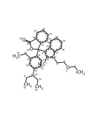 CCOCCn1c(C)c(C2(c3ccc(N(CC)CC)cc3CC)OC(=O)c3ccccc32)c2ccccc21